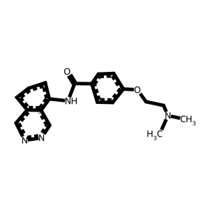 CN(C)CCOc1ccc(C(=O)Nc2cccc3cnncc23)cc1